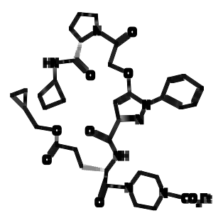 CCOC(=O)N1CCN(C(=O)[C@H](CCC(=O)OCC2CC2)NC(=O)c2cc(OCC(=O)N3CCC[C@H]3C(=O)NC3CCC3)n(-c3ccccc3)n2)CC1